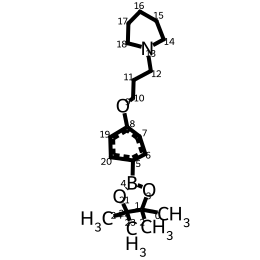 CC1(C)OB(c2ccc(OCCCN3CCCCC3)cc2)OC1(C)C